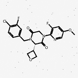 COc1cnc(N2CC(=O)N(Cc3ccc(Cl)c(F)c3)[C@@H](C3COC3)C2=O)c(F)c1